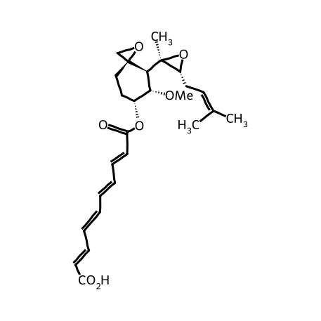 CO[C@@H]1[C@H](OC(=O)C=CC=CC=CC=CC(=O)O)CC[C@]2(CO2)[C@H]1[C@@]1(C)O[C@@H]1CC=C(C)C